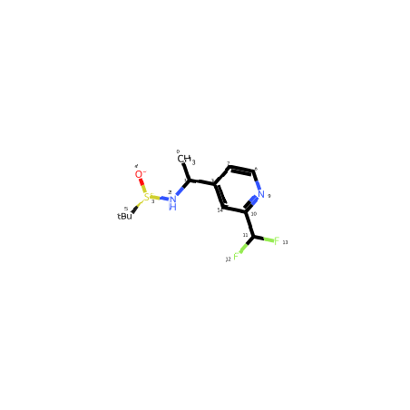 CC(N[S@+]([O-])C(C)(C)C)c1ccnc(C(F)F)c1